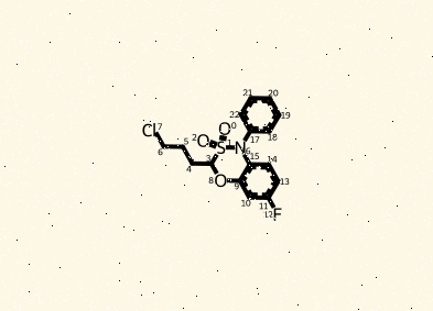 O=S1(=O)C(CCCCl)Oc2cc(F)ccc2N1c1ccccc1